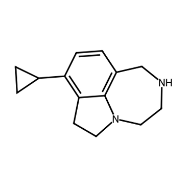 c1cc(C2CC2)c2c3c1CNCCN3CC2